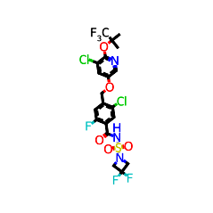 CC(C)(Oc1ncc(OCc2cc(F)c(C(=O)NS(=O)(=O)N3CC(F)(F)C3)cc2Cl)cc1Cl)C(F)(F)F